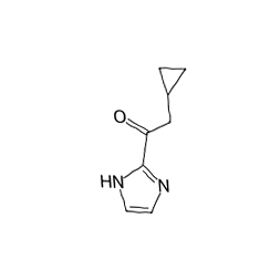 O=C(CC1CC1)c1ncc[nH]1